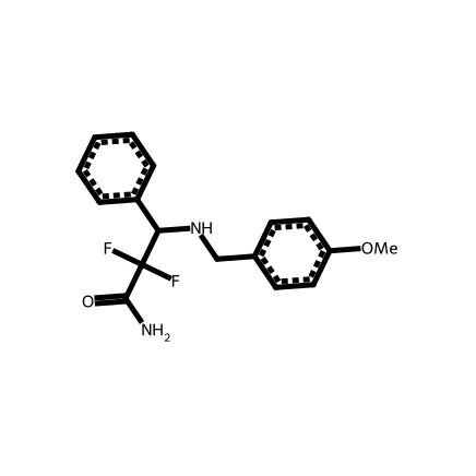 COc1ccc(CNC(c2ccccc2)C(F)(F)C(N)=O)cc1